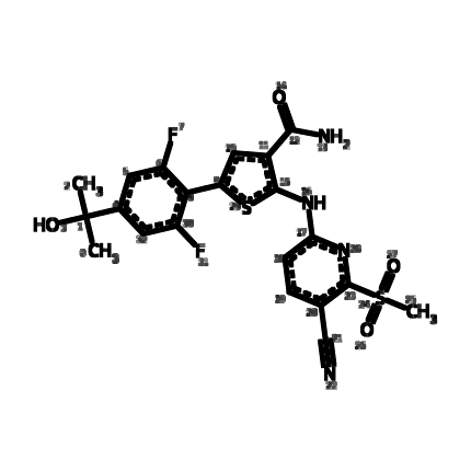 CC(C)(O)c1cc(F)c(-c2cc(C(N)=O)c(Nc3ccc(C#N)c(S(C)(=O)=O)n3)s2)c(F)c1